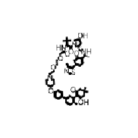 Cc1ccc(-c2ccc(OC3CCN(CCOCCOCC(=O)N[C@H](C(=O)N4C[C@H](O)C[C@H]4C(=O)N[C@@H](C)c4ccc(-c5scnc5C)cc4)C(C)(C)C)CC3)cc2)cc1C1=C(O)CC(C)(C)CC1=O